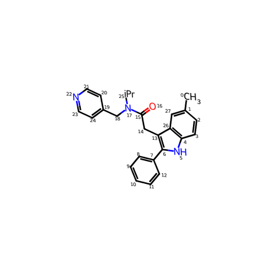 Cc1ccc2[nH]c(-c3ccccc3)c(CC(=O)N(Cc3ccncc3)C(C)C)c2c1